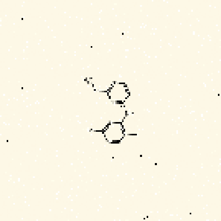 CSc1nccc(Nc2cc(Br)ccc2I)n1